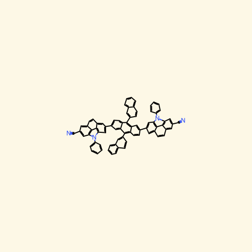 N#Cc1cc2ccc3cc(-c4ccc5c(-c6ccc7ccccc7c6)c6cc(-c7cc8ccc9cc(C#N)cc%10c9c8c(c7)n%10-c7ccccc7)ccc6c(-c6ccc7ccccc7c6)c5c4)cc4c3c2c(c1)n4-c1ccccc1